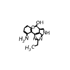 CCc1nc(-c2ccccc2N)c2c(C(=O)O)c[nH]c2n1